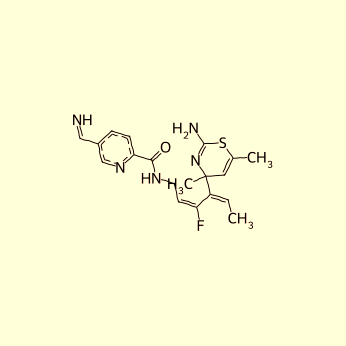 C/C=C(\C(F)=C/CNC(=O)c1ccc(C=N)cn1)C1(C)C=C(C)SC(N)=N1